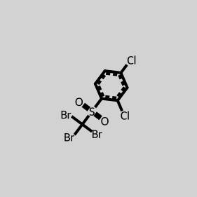 O=S(=O)(c1ccc(Cl)cc1Cl)C(Br)(Br)Br